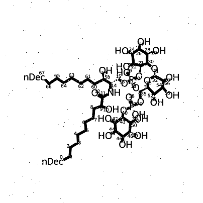 CCCCCCCCCCCCCCCCCCC(O)C(=O)N[C@@H](COP(=O)(O)O[C@H]1C(O)C(O)C(O)[C@@H](O)C1O[C@H]1O[C@H](COP(=O)(O)OC2C(O)C(O)C(O)[C@@H](O)C2O)[C@@H](O)C(O)C1O)[C@H](O)CCCCCCCCCCCCCCCCC